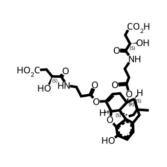 CC1CC[C@]23c4c5ccc(O)c4O[C@H]2C(OC(=O)CCNC(=O)[C@@H](O)CC(=O)O)=CC[C@@]3(OC(=O)CCNC(=O)[C@@H](O)CC(=O)O)[C@H]1C5